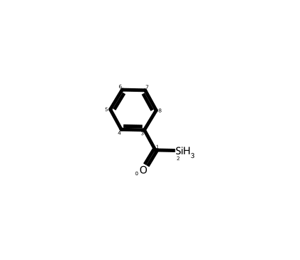 O=C([SiH3])c1ccccc1